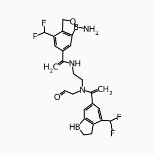 C=C(NCCN(CC=O)C(=C)c1cc2c(c(C(F)F)c1)CCB2)c1cc2c(c(C(F)F)c1)COB2N